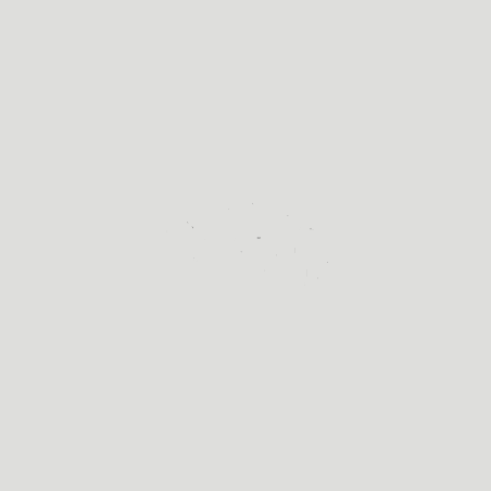 C=NC(=O)c1ccc2c(c1)S(=O)(=O)C(C)(C)C=C2